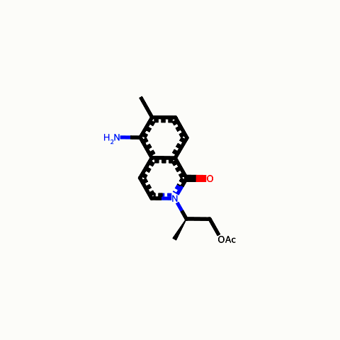 CC(=O)OC[C@@H](C)n1ccc2c(N)c(C)ccc2c1=O